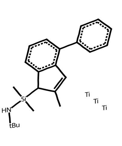 CC1=Cc2c(-c3ccccc3)cccc2C1[Si](C)(C)NC(C)(C)C.[Ti].[Ti].[Ti]